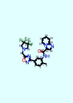 Cc1ccc(-c2noc(CN3CC(F)(F)C(F)(F)C3)n2)cc1NC(=O)c1cnc2ccccn12